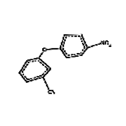 N#Cc1cccc(Oc2ccc([N+](=O)[O-])cc2)c1